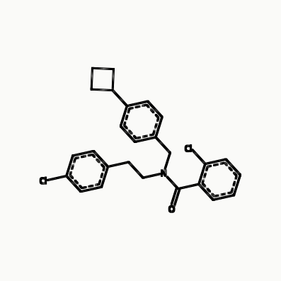 O=C(c1ccccc1Cl)N(CCc1ccc(Cl)cc1)Cc1ccc(C2CCC2)cc1